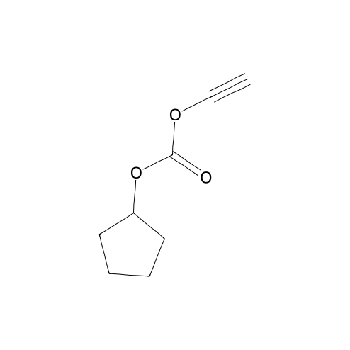 C#COC(=O)OC1CCCC1